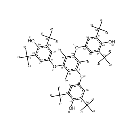 Cc1c(Oc2cc(C(C)(C)C)c(O)c(C(C)(C)C)c2)c(C)c(Oc2cc(C(C)(C)C)c(O)c(C(C)(C)C)c2)c(C)c1Oc1cc(C(C)(C)C)c(O)c(C(C)(C)C)c1